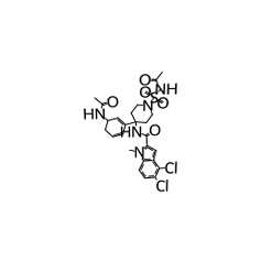 CC(=O)NC1C=C(C2(NC(=O)c3cc4c(Cl)c(Cl)ccc4n3C)CCN(S(=O)(=O)NC(C)=O)CC2)C=CC1